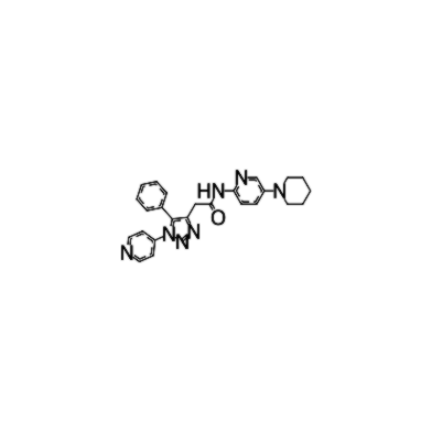 O=C(Cc1nnn(-c2ccncc2)c1-c1ccccc1)Nc1ccc(N2CCCCC2)cn1